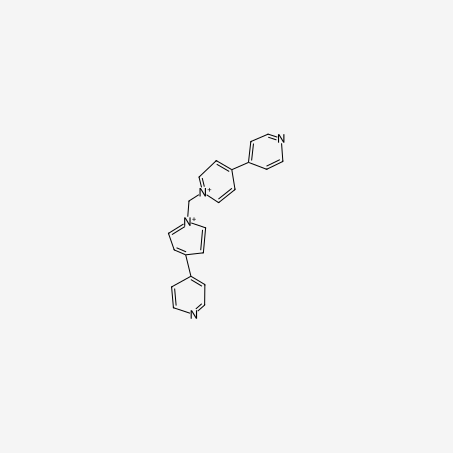 c1cc(-c2cc[n+](C[n+]3ccc(-c4ccncc4)cc3)cc2)ccn1